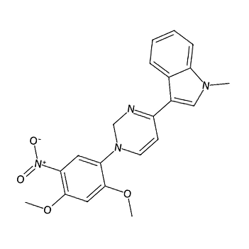 COc1cc(OC)c([N+](=O)[O-])cc1N1C=CC(c2cn(C)c3ccccc23)=NC1